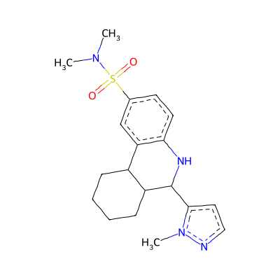 CN(C)S(=O)(=O)c1ccc2c(c1)C1CCCCC1C(c1ccnn1C)N2